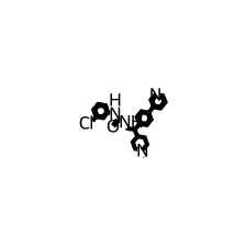 CN1CCC(C(CNC(=O)Nc2cccc(Cl)c2)c2ccc(-c3cccnc3)cc2)CC1